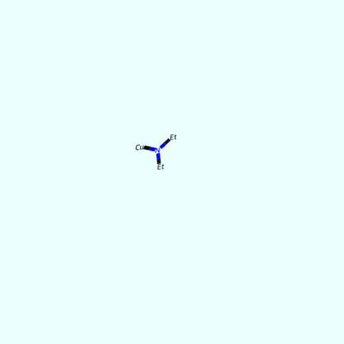 CC[N]([Cu])CC